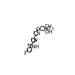 C[C@]1(C(=O)O)CC[C@H](Oc2ccc(-c3ccc(-c4nc5cc(F)ccc5[nH]4)cn3)cn2)CC1